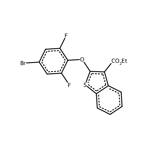 CCOC(=O)c1c(Oc2c(F)cc(Br)cc2F)sc2ccccc12